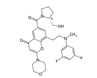 CN(CCc1cc(C(=O)N2CCC[C@@H]2CO)cc2c(=O)cc(N3CCOCC3)oc12)c1cc(F)cc(F)c1